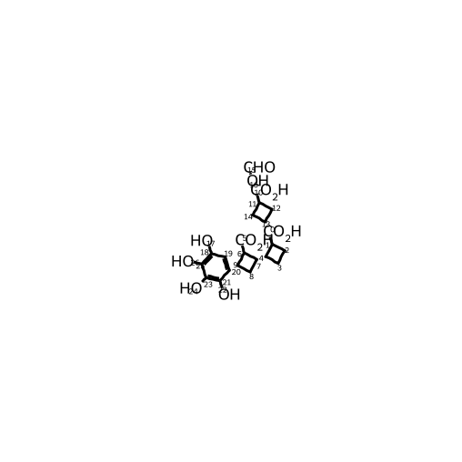 O=C(O)C1CCC1.O=C(O)C1CCC1.O=C(O)C1CCC1.O=CO.Oc1ccc(O)c(O)c1O